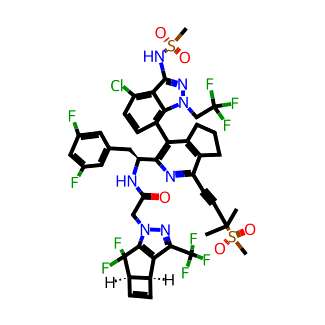 CC(C)(C#Cc1nc([C@H](Cc2cc(F)cc(F)c2)NC(=O)Cn2nc(C(F)(F)F)c3c2C(F)(F)[C@@H]2C=C[C@H]32)c(-c2ccc(Cl)c3c(NS(C)(=O)=O)nn(CC(F)(F)F)c23)c2c1CCC2)S(C)(=O)=O